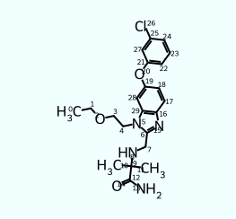 CCOCCn1c(CNC(C)(C)C(N)=O)nc2ccc(Oc3cccc(Cl)c3)cc21